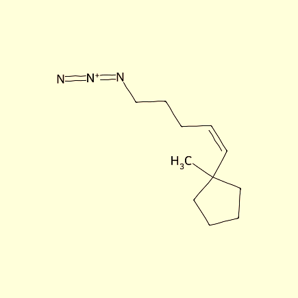 CC1(/C=C\CCCN=[N+]=[N-])CCCC1